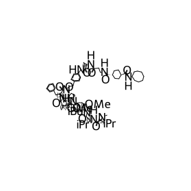 CC[C@H](C)[C@@H]([C@@H](CC(=O)N1CCC[C@H]1[C@H](OC)[C@@H](C)C(=O)N[C@@H](Cc1ccccc1)C(=O)NOCc1ccc(NC(=O)[C@@H](C)NC(=O)CCNC(=O)[C@H]2CC[C@H](C(=O)NC3CCCCCCC3)CC2)cc1)OC)N(C)C(=O)[C@@H](NC(=O)[C@H](C(C)C)N(C)C)C(C)C